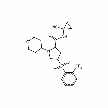 N#CC1(NC(=O)C2CC(S(=O)(=O)c3ccccc3C(F)(F)F)CN2C2CCOCC2)CC1